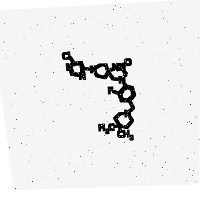 CC1(C)CCN(Cc2ccc(N3CC(=O)NC4(CCN(c5cc(Cl)ncn5)CC4)C3)c(F)c2)CC1